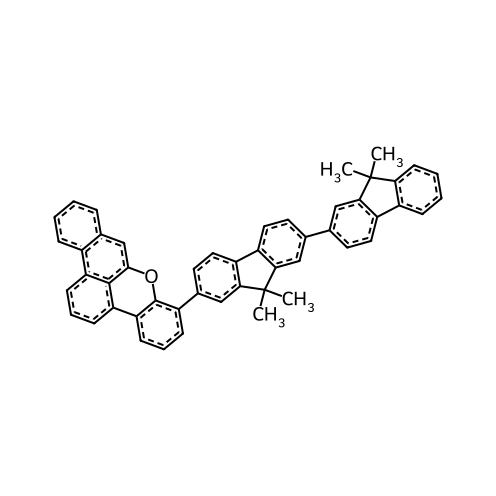 CC1(C)c2ccccc2-c2ccc(-c3ccc4c(c3)C(C)(C)c3cc(-c5cccc6c5Oc5cc7ccccc7c7cccc-6c57)ccc3-4)cc21